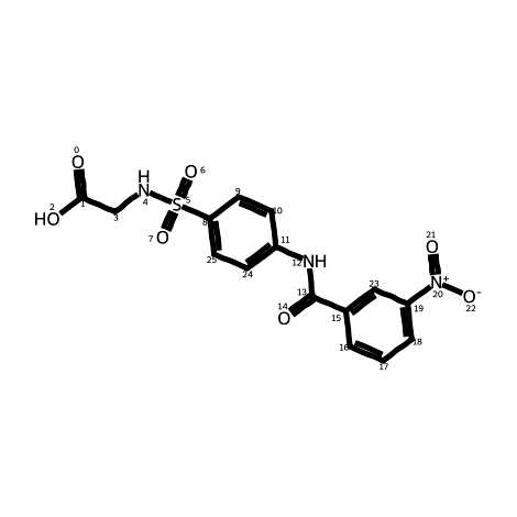 O=C(O)CNS(=O)(=O)c1ccc(NC(=O)c2cccc([N+](=O)[O-])c2)cc1